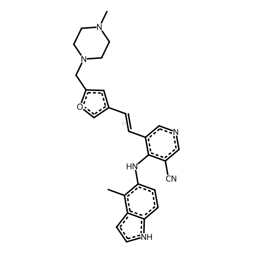 Cc1c(Nc2c(C#N)cncc2/C=C/c2coc(CN3CCN(C)CC3)c2)ccc2[nH]ccc12